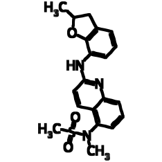 CC1Cc2cccc(Nc3ccc4c(N(C)S(C)(=O)=O)cccc4n3)c2O1